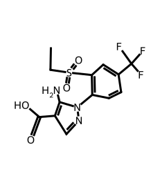 CCS(=O)(=O)c1cc(C(F)(F)F)ccc1-n1ncc(C(=O)O)c1N